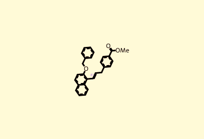 COC(=O)c1ccc(C/C=C/c2c(OCc3ccccc3)ccc3ccccc23)cc1